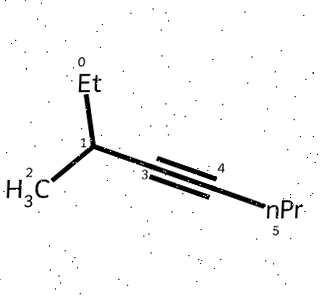 [CH2]CC(C)C#CCCC